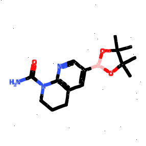 CC1(C)OB(c2cnc3c(c2)CCCN3C(N)=O)OC1(C)C